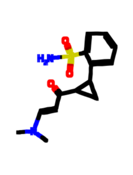 CN(C)C=CC(=O)C1CC1c1ccccc1S(N)(=O)=O